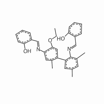 CCOc1cc(-c2cc(C)cc(C)c2N=Cc2ccccc2O)c(C)cc1N=Cc1ccccc1O